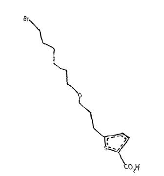 O=C(O)c1ccc(CCCOCCCCCCBr)s1